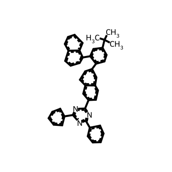 CC(C)(C)c1ccc(-c2ccc3cc(-c4nc(-c5ccccc5)nc(-c5ccccc5)n4)ccc3c2)c(-c2cccc3ccccc23)c1